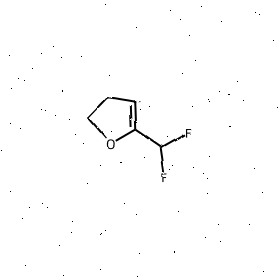 FC(F)C1=[C]CCO1